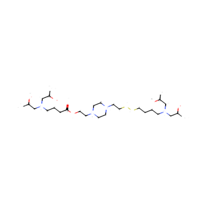 CCCCCCCCC(O)CN(CCCCSSCCN1CCN(CCOC(=O)CCCN(CC(O)CCCCCCCC)CC(O)CCCCCCCC)CC1)CC(O)CCCCCCCC